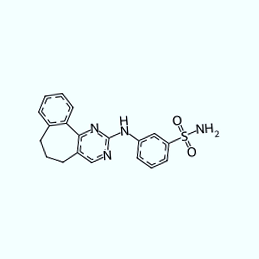 NS(=O)(=O)c1cccc(Nc2ncc3c(n2)-c2ccccc2CCC3)c1